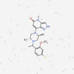 CC[C@H]1CN(C(C)c2ccc(F)cc2OC(F)(F)F)[C@H](CC)CN1c1cc(=O)n(C)c2c[nH]nc12